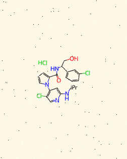 CC(C)Nc1cc(-n2cccc2C(=O)NC(CO)c2cccc(Cl)c2)c(Cl)cn1.Cl